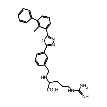 Cc1c(-c2ccccc2)cccc1-c1nnc(-c2cccc(CNC(CCCNC(=N)N)C(=O)O)c2)o1